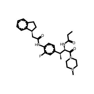 CCC(=O)N[C@@H](C(=O)N1CCN(C)CC1)[C@@H](C)c1ccc(NC(=O)C[C@@H]2CCc3ccccc32)c(F)c1